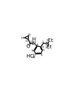 CCN(CC)Cc1ccccc1NC(=O)C1CC1.Cl